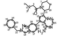 CN(C)CC(=O)N1CCCCC1c1cc(-c2ccc3cn(Cc4ccccc4)nc3c2)c2c(N)ncnn12